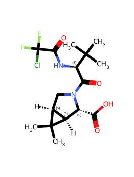 CC(C)(C)[C@H](NC(=O)C(F)(F)Cl)C(=O)N1C[C@H]2[C@@H]([C@H]1C(=O)O)C2(C)C